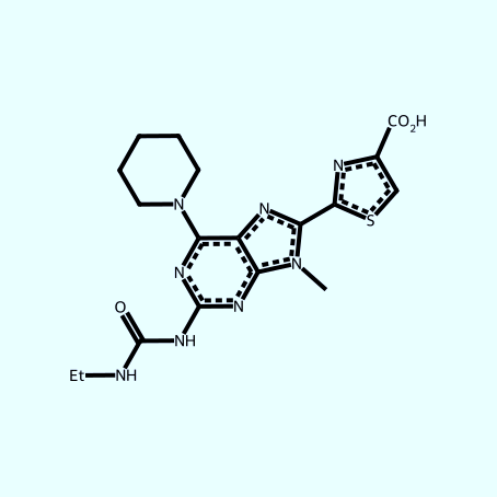 CCNC(=O)Nc1nc(N2CCCCC2)c2nc(-c3nc(C(=O)O)cs3)n(C)c2n1